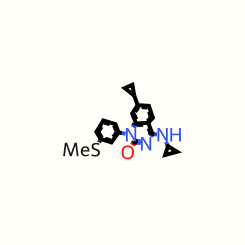 CSc1cccc(-n2c(=O)nc(NC3CC3)c3ccc(C4CC4)cc32)c1